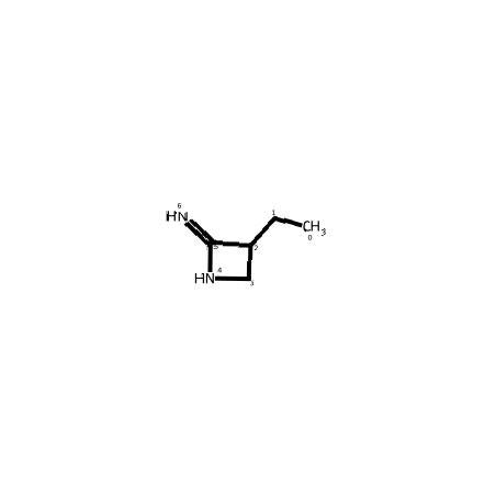 CCC1CNC1=N